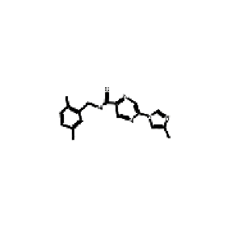 Cc1ccc(C)c(CNC(=O)c2cnc(-n3cnc(C)c3)cn2)c1